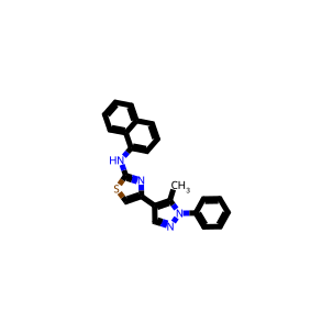 Cc1c(-c2csc(Nc3cccc4ccccc34)n2)cnn1-c1ccccc1